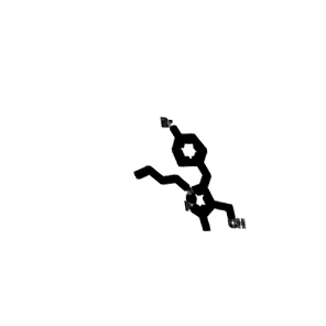 CCCCn1nc(C)c(CO)c1Cc1ccc(Br)cc1